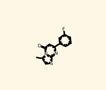 Cc1csc2nc(-c3cccc(F)c3)cc(=O)n12